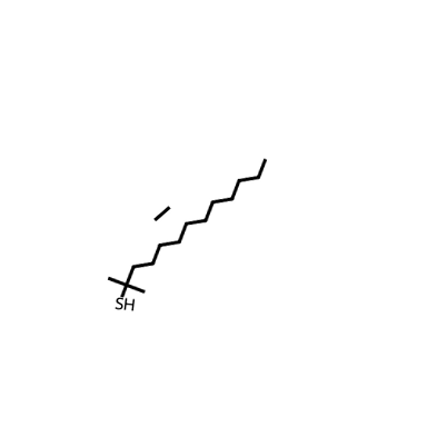 CC.CCCCCCCCCCCC(C)(C)S